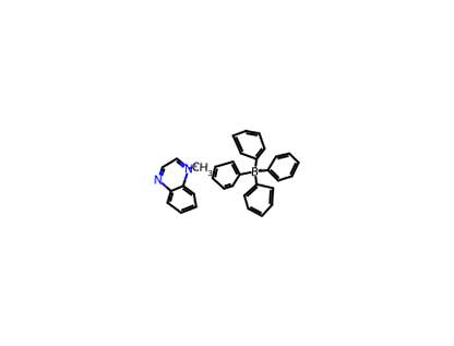 C[n+]1ccnc2ccccc21.c1ccc([B-](c2ccccc2)(c2ccccc2)c2ccccc2)cc1